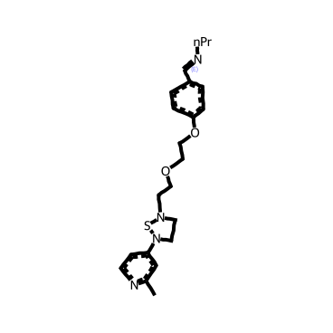 CCC/N=C/c1ccc(OCCOCCN2CCN(c3ccnc(C)c3)S2)cc1